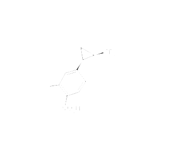 Cc1cc([C@H]2C[C@H]2C(F)(F)F)ccc1C(=O)O